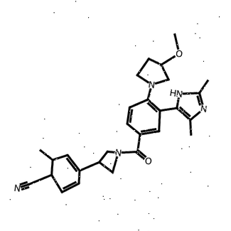 COC1CCN(c2ccc(C(=O)N3CC(C4=CC(C)C(C#N)C=C4)C3)cc2-c2[nH]c(C)nc2C)C1